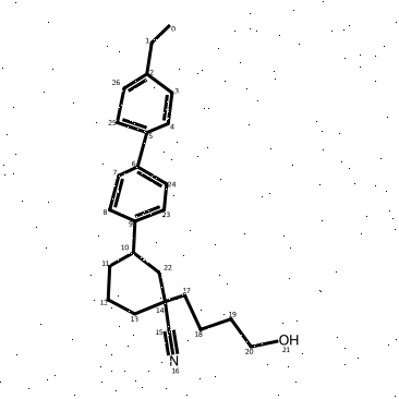 CCc1ccc(-c2ccc(C3CCCC(C#N)(CCCCO)C3)cc2)cc1